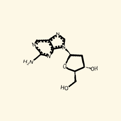 Nc1ncc2ncn([C@H]3C[C@H](O)[C@@H](CO)O3)c2n1